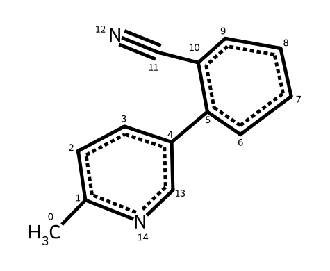 Cc1ccc(-c2ccccc2C#N)cn1